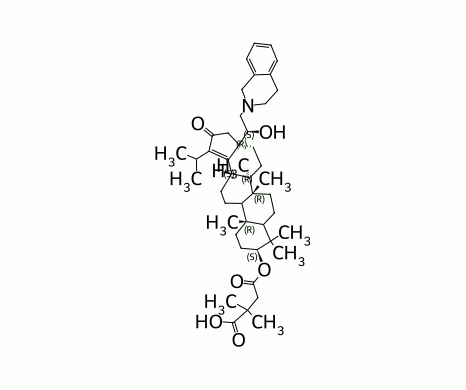 CC(C)C1=C2[C@H]3CCC4[C@@]5(C)CC[C@H](OC(=O)CC(C)(C)C(=O)O)C(C)(C)C5CC[C@@]4(C)[C@]3(C)CC[C@@]2([C@H](O)CN2CCc3ccccc3C2)CC1=O